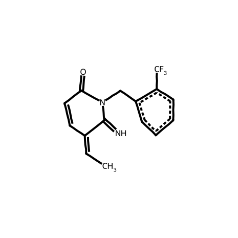 C/C=C1/C=CC(=O)N(Cc2ccccc2C(F)(F)F)C1=N